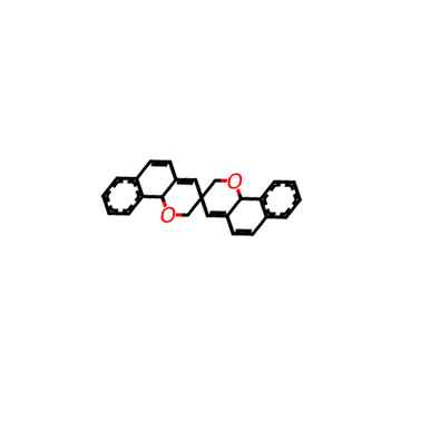 C1=Cc2ccccc2C2OCC3(C=C12)C=C1C=Cc2ccccc2C1OC3